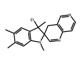 CCC1(C)c2cc(C)c(C)cc2N(C)C12C=Nc1ccncc1C2